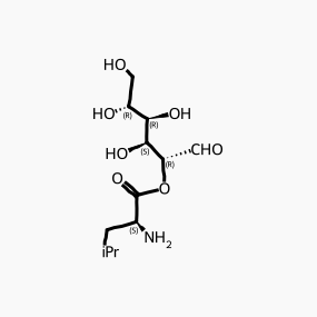 CC(C)C[C@H](N)C(=O)O[C@@H](C=O)[C@@H](O)[C@H](O)[C@H](O)CO